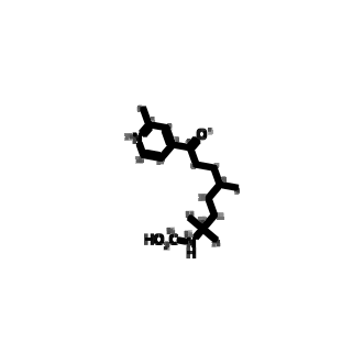 Cc1cc(C(=O)CCC(C)CCC(C)(C)NC(=O)O)ccn1